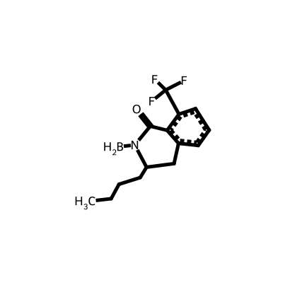 BN1C(=O)c2c(cccc2C(F)(F)F)CC1CCCC